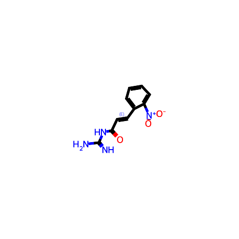 N=C(N)NC(=O)/C=C/c1ccccc1[N+](=O)[O-]